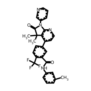 Cc1cccc(NC(=O)c2cc(-c3ccnc4c3C(C)(C)C(=O)N4c3cccnc3)ccc2C(F)(F)F)c1